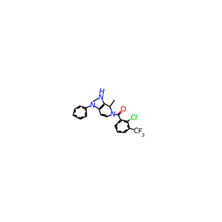 CC1C2=C(C=CN1C(=O)c1cccc(C(F)(F)F)c1Cl)N(c1ccccc1)CN2